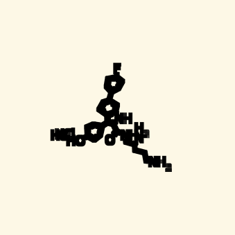 Cl.Cl.NCCCC(N)CNC(=O)c1[nH]c2cc(-c3ccc(F)cc3)ccc2c1-c1ccc(O)cc1